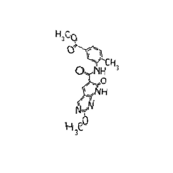 COC(=O)c1ccc(C)c(NC(=O)c2cc3cnc(OC)nc3[nH]c2=O)c1